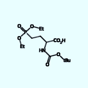 CCOP(=O)(CCC(NC(=O)OC(C)(C)C)C(=O)O)OCC